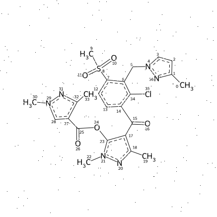 Cc1ccn(Cc2c(S(C)(=O)=O)ccc(C(=O)c3c(C)nn(C)c3OC(=O)c3cn(C)nc3C)c2Cl)n1